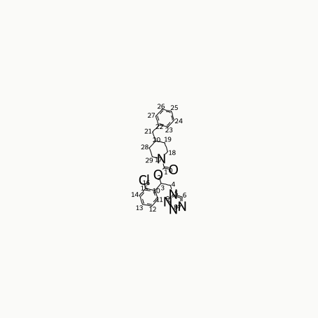 O=C(OC(Cn1cnnn1)c1ccccc1Cl)N1CCC(Cc2ccccc2)CC1